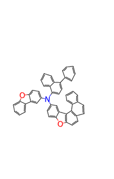 c1ccc(-c2ccc(N(c3ccc4oc5ccccc5c4c3)c3ccc4oc5ccc6ccc7ccccc7c6c5c4c3)c3ccccc23)cc1